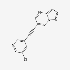 Clc1cncc(C#Cc2cnc3ccnn3c2)c1